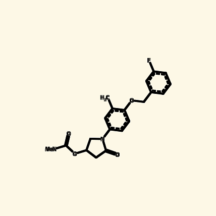 CNC(=O)OC1CC(=O)N(c2ccc(OCc3cccc(F)c3)c(C)c2)C1